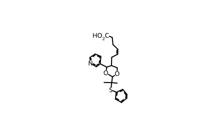 CC(C)(Sc1ccccc1)C1OCC(C/C=C\CCC(=O)O)C(c2cccnc2)O1